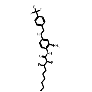 CCCCCCC(F)C(F)C(=O)Nc1ccc(NCc2ccc(C(F)(F)F)cc2)cc1N